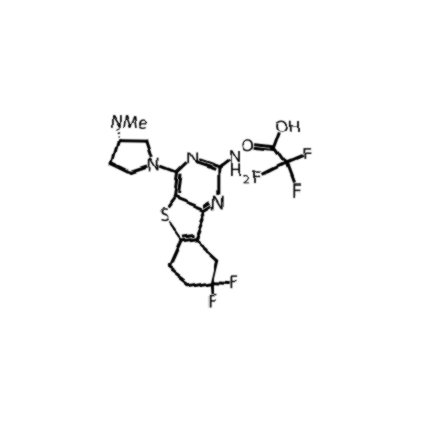 CN[C@H]1CCN(c2nc(N)nc3c4c(sc23)CCC(F)(F)C4)C1.O=C(O)C(F)(F)F